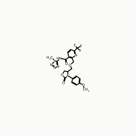 COc1ccc(N2C(=O)OCC2COCc2nc(C(F)(F)F)ccc2C(=O)Nc2nnnn2C)cc1